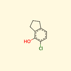 Oc1c(Cl)ccc2c1CCC2